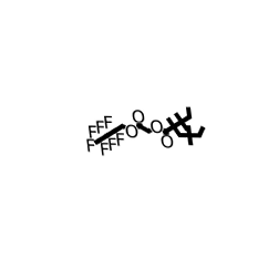 CCC(C)(C)CC(C)(C(=O)OCC(=O)OCC(F)(F)C(F)(F)C(F)(F)F)C(C)(C)CC